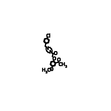 COc1ccc(OCC(=O)N2CCN(Cc3ccc(Cl)cc3)CC2)c(C(C)=O)c1